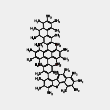 Bc1c(B)c(-c2c(B)c(B)c(B)c3oc4c5c(B)c(B)c(B)c(B)c5c(B)c(B)c4c23)c(B)c(B)c1-c1c2c(B)c(B)c(B)c(B)c2c(-c2c(B)c(B)c3c(c2B)c(B)c(B)c2c(B)c(B)c(B)c(B)c23)c2c(B)c(B)c(B)c(B)c12